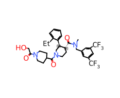 CCc1ccccc1[C@@H]1CN(C(=O)C2CCN(C(=O)CO)CC2)CC[C@H]1C(=O)N(C)Cc1cc(C(F)(F)F)cc(C(F)(F)F)c1